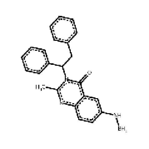 BNc1ccc2nc(C)n(C(Cc3ccccc3)c3ccccc3)c(=O)c2c1